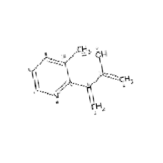 C=C(O)C(=C)c1ncccc1C